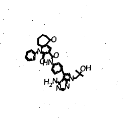 CC(C)(O)Cn1cc(-c2ccc(NC(=O)c3cc4c(n(-c5ccccc5)c3=O)CCCCC4=O)cc2)c2c(N)ncnc21